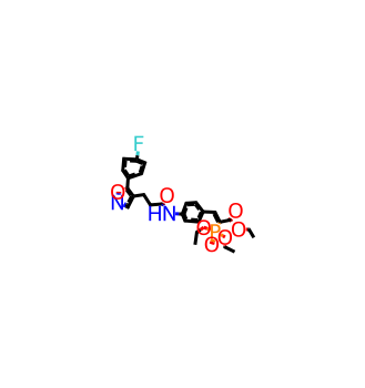 CCOC(=O)C(=Cc1ccc(NC(=O)CCc2cnoc2-c2ccc(F)cc2)cc1)P(=O)(OCC)OCC